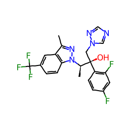 Cc1nn([C@H](C)[C@](O)(Cn2cncn2)c2ccc(F)cc2F)c2ccc(C(F)(F)F)cc12